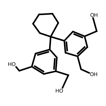 OCc1cc(CO)cc(C2(c3cc(CO)cc(CO)c3)CCCCC2)c1